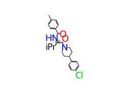 Cc1ccc(C(=O)N[C@@H](C(=O)N2CCC(c3ccc(Cl)cc3)CC2)C(C)C)cc1